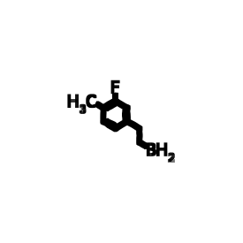 BCCc1ccc(C)c(F)c1